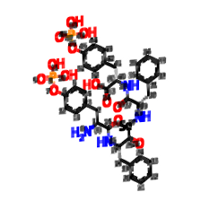 N[C@@H](Cc1ccc(OP(=O)(O)O)cc1)C(=O)N[C@@H](Cc1ccccc1)C(=O)[Se]N[C@@H](Cc1ccccc1)C(=O)N[C@@H](Cc1ccc(OP(=O)(O)O)cc1)C(=O)O